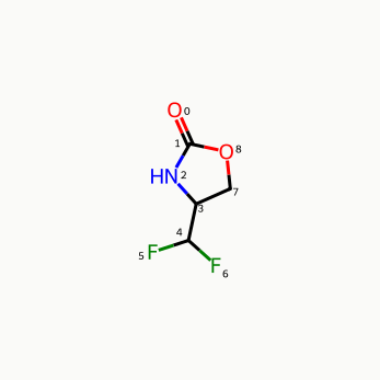 O=C1NC(C(F)F)CO1